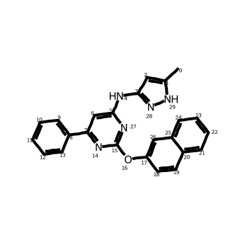 Cc1cc(Nc2cc(-c3ccccc3)nc(Oc3ccc4ccccc4c3)n2)n[nH]1